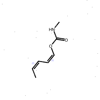 C/C=C\C=C/OC(=O)NC